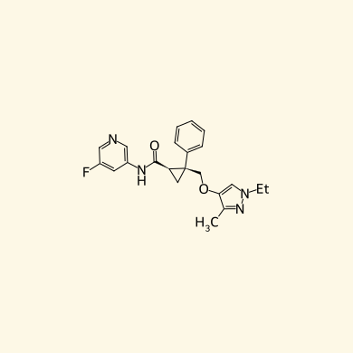 CCn1cc(OC[C@@]2(c3ccccc3)C[C@H]2C(=O)Nc2cncc(F)c2)c(C)n1